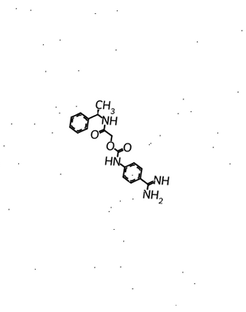 C[C@@H](NC(=O)COC(=O)Nc1ccc(C(=N)N)cc1)c1ccccc1